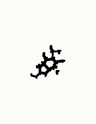 CCc1nc2[nH]c(=O)n(C(=O)[O-])c(=O)c2[nH]1.[K+]